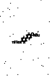 CCCCCC[C@H]1CC[C@H]([C@H]2CC[C@H](OCCCC)CC2)CC1